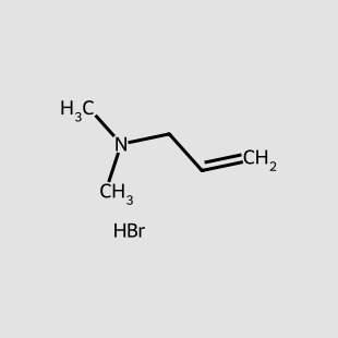 Br.C=CCN(C)C